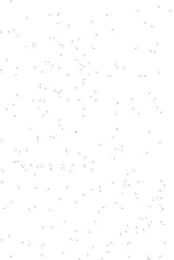 c1ccc2c(-n3c4ccccc4c4cc(-c5ccc(-c6c7ccccc7cc7ccccc67)cc5)ccc43)cccc2c1